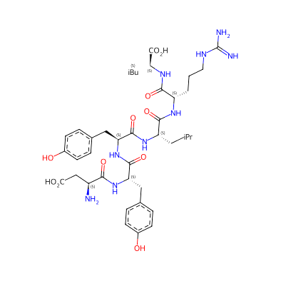 CC[C@H](C)[C@H](NC(=O)[C@H](CCCNC(=N)N)NC(=O)[C@H](CC(C)C)NC(=O)[C@H](Cc1ccc(O)cc1)NC(=O)[C@H](Cc1ccc(O)cc1)NC(=O)[C@@H](N)CC(=O)O)C(=O)O